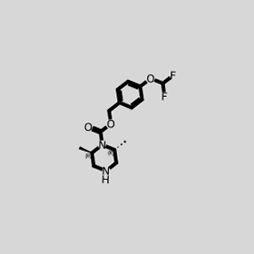 C[C@@H]1CNC[C@@H](C)N1C(=O)OCc1ccc(OC(F)F)cc1